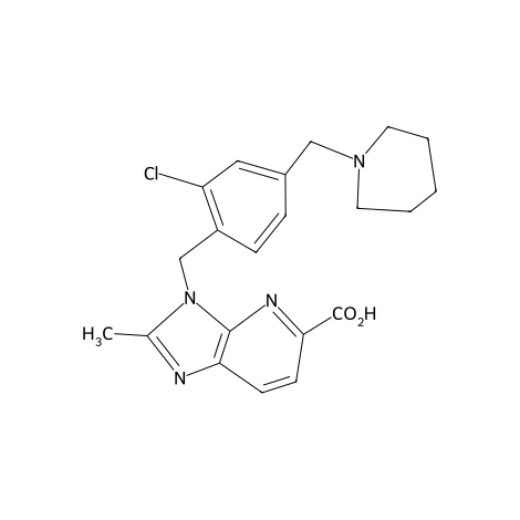 Cc1nc2ccc(C(=O)O)nc2n1Cc1ccc(CN2CCCCC2)cc1Cl